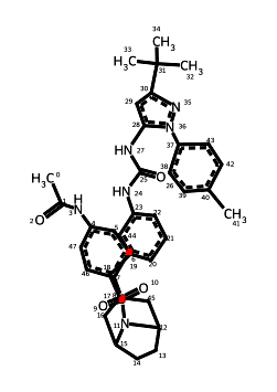 CC(=O)Nc1ccc(S(=O)(=O)N2C3CCC2CC(Cc2cccc(NC(=O)Nc4cc(C(C)(C)C)nn4-c4ccc(C)cc4)c2)C3)cc1